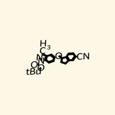 Cc1nn(C(=O)OC(C)(C)C)c2ccc(OC3CCc4cc(C#N)ccc43)cc12